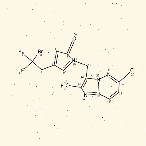 O=C1C=C(CC(F)(F)Br)C=[N+]1Cc1c(C(F)(F)F)nc2ccc(Cl)nn12